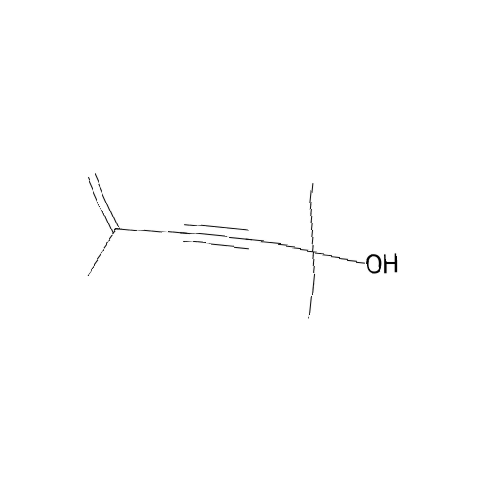 C=C(C)C#CC(C)(C)O